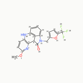 COc1ccc2c(n1)C1C(=O)N(Cc3ccc(C(F)(F)F)o3)c3cccc(c31)N2